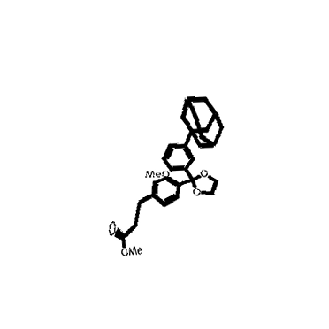 COC(=O)CCc1ccc(C2(c3cc(C45CC6CC(CC(C6)C4)C5)ccc3OC)OCCO2)cc1